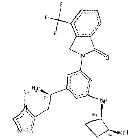 C[C@H](Cc1nncn1C)c1cc(N[C@@H]2CC[C@@H]2O)nc(N2Cc3c(cccc3C(F)(F)F)C2=O)c1